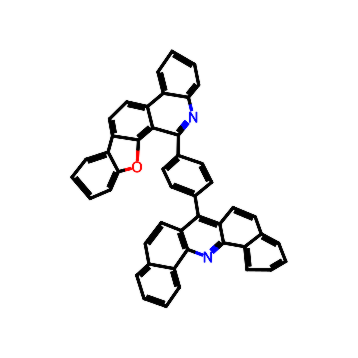 c1ccc2c(c1)ccc1c(-c3ccc(-c4nc5ccccc5c5ccc6c7ccccc7oc6c45)cc3)c3ccc4ccccc4c3nc12